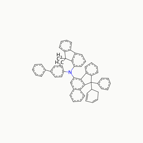 CC1(C)c2ccccc2-c2cccc(N(c3ccc(-c4ccccc4)cc3)c3cc4ccccc4c4c3-c3ccccc3C4(c3ccccc3)C3C=CC=CC3)c21